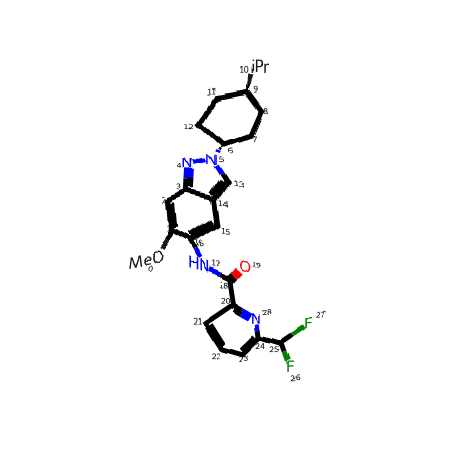 COc1cc2nn([C@H]3CC[C@H](C(C)C)CC3)cc2cc1NC(=O)c1cccc(C(F)F)n1